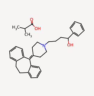 CC(C)C(=O)O.OC(CCCN1CCC(=C2c3ccccc3CCc3ccccc32)CC1)c1ccccc1